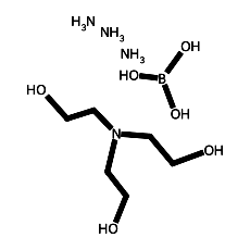 N.N.N.OB(O)O.OCCN(CCO)CCO